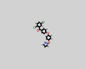 O=C(c1ccc(Oc2ccc(On3cccn3)cc2)cc1)c1cc(Cl)ccc1Cl